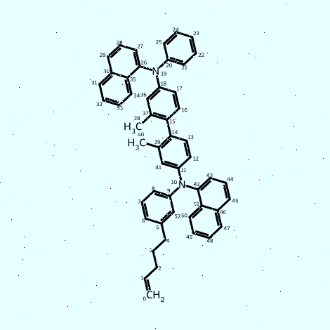 C=CCCCc1cccc(N(c2ccc(-c3ccc(N(c4ccccc4)c4cccc5ccccc45)cc3C)c(C)c2)c2cccc3ccccc23)c1